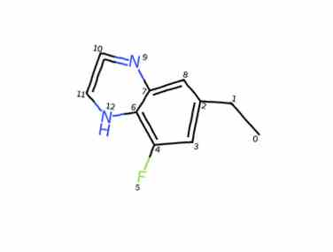 CCc1cc(F)c2c(c1)N=C=CN2